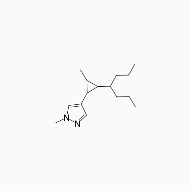 CCCC(CCC)C1C(C)C1c1cnn(C)c1